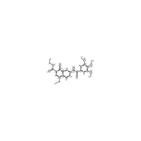 CCOC(=O)c1cn(CC)c2ncc(NC(=O)c3cc(OC)c(OC)c(OC)c3)cc2c1=O